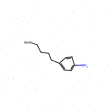 CNCCCCc1ccc(N)cc1